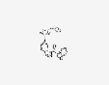 Cc1ccc(-c2noc(CC3COC3)n2)cc1NC(=O)c1cnc2ccccn12